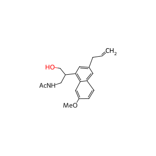 C=CCc1cc(C(CO)CNC(C)=O)c2cc(OC)ccc2c1